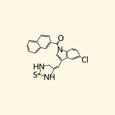 O=C(c1ccc2ccccc2c1)n1cc(C=C2CNC(=S)NC2)c2cc(Cl)ccc21